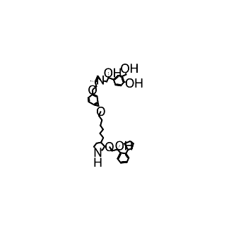 C[C@]1(COc2ccc3c(c2)C3OCCCCCCC2CCNC[C@@H]2OC[C@H](O)c2ccccc2C2CCCC2)CN1C[C@H](O)c1ccc(O)c(CO)c1